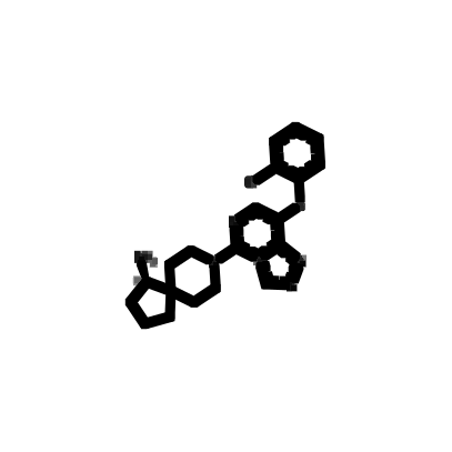 N[C@@H]1CCCC12CCN(c1ncc(Sc3ccccc3Cl)c3nncn13)CC2